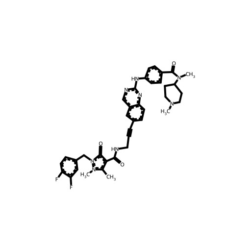 Cc1c(C(=O)NCC#Cc2ccc3nc(Nc4ccc(C(=O)N(C)C5CCN(C)CC5)cc4)ncc3c2)c(=O)n(Cc2ccc(F)c(F)c2)n1C